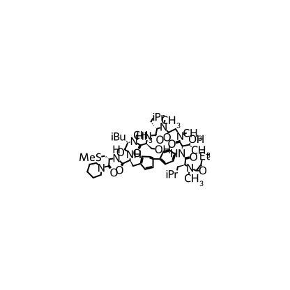 CCC1OC1N(C)[C@@H](CC(C)C)C(=O)N[C@H](C(=O)N(C)CC(=O)N(C)[C@@H](CC(C)C)C(=O)N[C@@H](CO)C(=O)N(C)[C@H](C(=O)N[C@@H](Cc1ccc(-c2ccccc2)cc1)C(=O)N[C@@H](CSC)C(=O)N1CCCCC1)[C@@H](C)CC)[C@@H](C)O